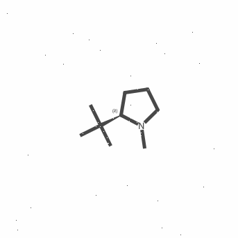 CN1CCC[C@@H]1C(C)(C)C